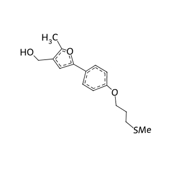 CSCCCOc1ccc(-c2cc(CO)c(C)o2)cc1